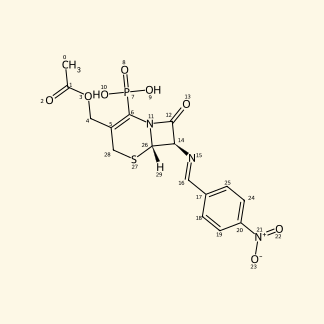 CC(=O)OCC1=C(P(=O)(O)O)N2C(=O)[C@@H](N=Cc3ccc([N+](=O)[O-])cc3)[C@@H]2SC1